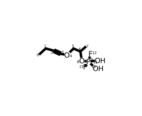 CCC#COCC(C)OP(O)(O)(F)F